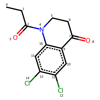 CCC(=O)N1CCC(=O)c2cc(Cl)c(Cl)cc21